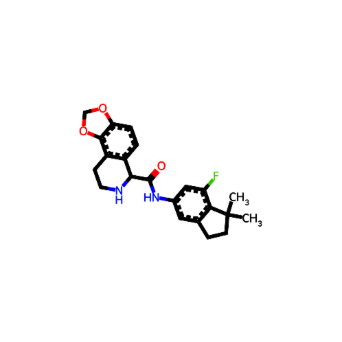 CC1(C)CCc2cc(NC(=O)C3NCCc4c3ccc3c4OCO3)cc(F)c21